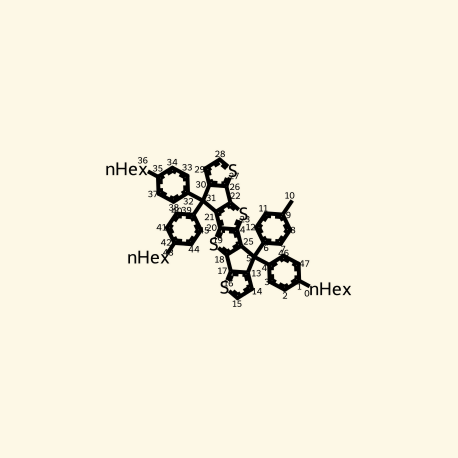 CCCCCCc1ccc(C2(c3ccc(C)cc3)c3ccsc3-c3sc4c5c(sc4c32)-c2sccc2C5(c2ccc(CCCCCC)cc2)c2ccc(CCCCCC)cc2)cc1